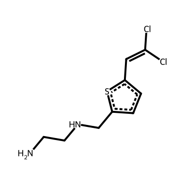 NCCNCc1ccc(C=C(Cl)Cl)s1